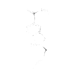 CC#CC[C@@H]1Cc2cc(C(N)=O)cnc2N1